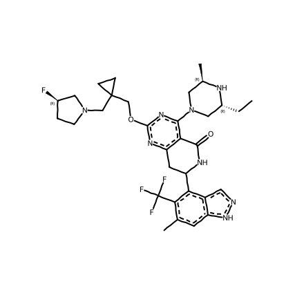 CC[C@@H]1CN(c2nc(OCC3(CN4CC[C@@H](F)C4)CC3)nc3c2C(=O)NC(c2c(C(F)(F)F)c(C)cc4[nH]ncc24)C3)C[C@@H](C)N1